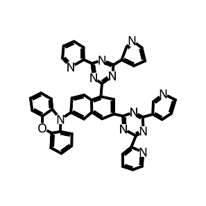 c1ccc(-c2nc(-c3cccnc3)nc(-c3cc(-c4nc(-c5cccnc5)nc(-c5ccccn5)n4)c4ccc(N5c6ccccc6Oc6ccccc65)cc4c3)n2)nc1